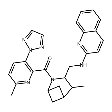 Cc1ccc(-n2nccn2)c(C(=O)N2C3CC(C3)C(C)C2CNc2ccc3ccccc3n2)n1